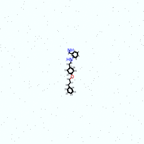 N=Cc1ccccc1NCCc1ccc(OCCCc2ccccc2)cc1